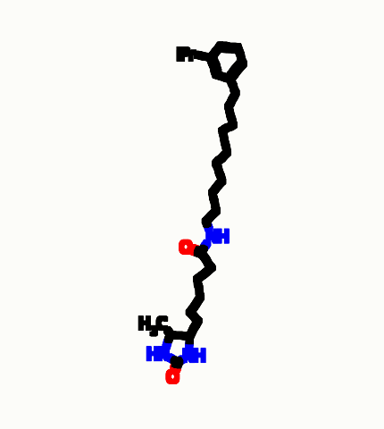 CC(C)c1cccc(CCCCCCCCCCNC(=O)CCCCCC2NC(=O)NC2C)c1